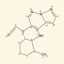 CC1CCCCC1Nc1c(OC=O)cnn2nccc12